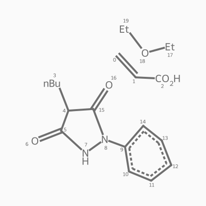 C=CC(=O)O.CCCCC1C(=O)NN(c2ccccc2)C1=O.CCOCC